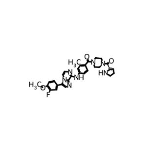 COc1ccc(-c2cnc3c(Nc4ccc(C(=O)N5CCN(C(=O)[C@H]6CCCN6)CC5)c(C)c4)nccn23)cc1F